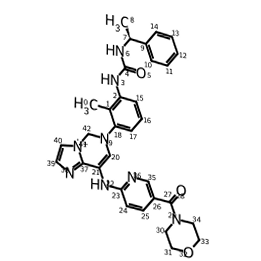 Cc1c(NC(=O)N[C@@H](C)c2ccccc2)cccc1N1C=C(Nc2ccc(C(=O)N3CCOCC3)cn2)C2=NC=C[N+]2C1